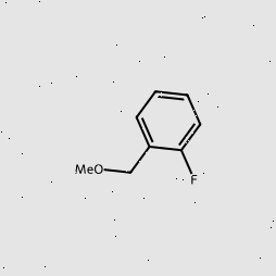 [CH2]OCc1ccccc1F